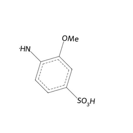 COc1cc(S(=O)(=O)O)ccc1[NH]